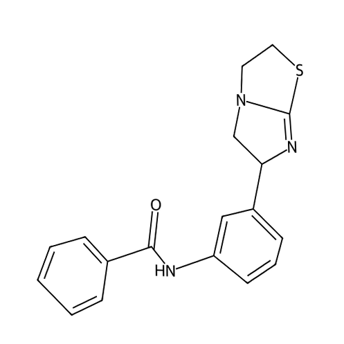 O=C(Nc1cccc(C2CN3CCSC3=N2)c1)c1ccccc1